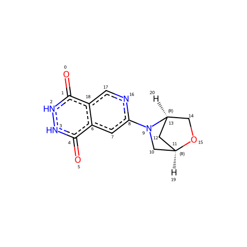 O=c1[nH][nH]c(=O)c2cc(N3C[C@H]4C[C@@H]3CO4)ncc12